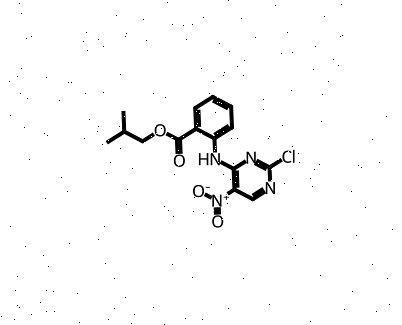 CC(C)COC(=O)c1ccccc1Nc1nc(Cl)ncc1[N+](=O)[O-]